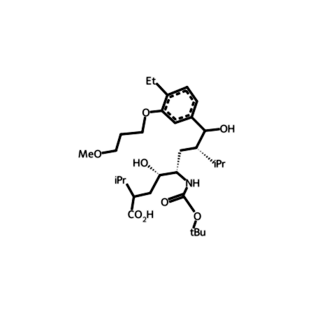 CCc1ccc(C(O)[C@@H](C[C@H](NC(=O)OC(C)(C)C)[C@@H](O)CC(C(=O)O)C(C)C)C(C)C)cc1OCCCOC